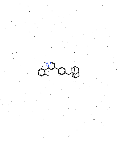 Cc1ccccc1-c1cc(-c2ccc(CC34CC5CC(CC(C5)C3)C4)cc2)cc[n+]1C